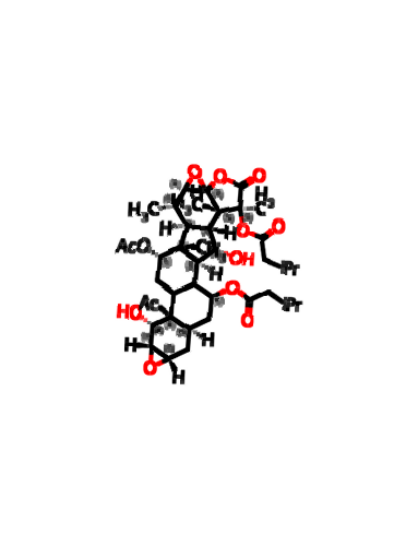 CC(=O)O[C@H]1CC2C([C@@H](OC(=O)CC(C)C)C[C@H]3C[C@@H]4O[C@@H]4[C@H](O)[C@]23C(C)=O)[C@@H]2[C@@H](O)[C@@H]3[C@H]([C@H](C)[C@H]4O[C@]45OC(=O)[C@@](C)(OC(=O)CC(C)C)[C@]35C)[C@@]12C